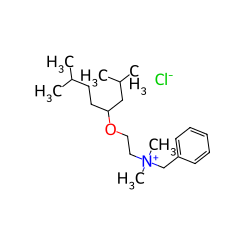 CC(C)CCC(CC(C)C)OCC[N+](C)(C)Cc1ccccc1.[Cl-]